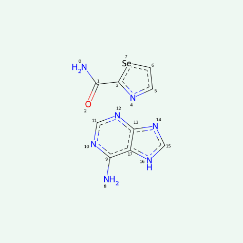 NC(=O)c1ncc[se]1.Nc1ncnc2nc[nH]c12